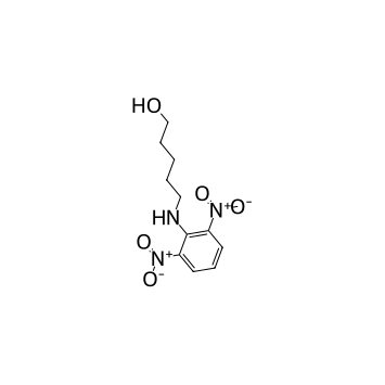 O=[N+]([O-])c1cccc([N+](=O)[O-])c1NCCCCCO